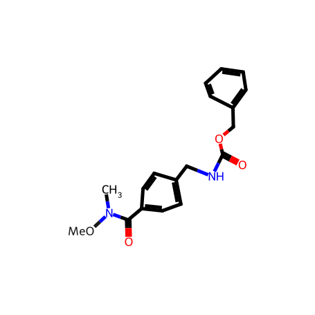 CON(C)C(=O)c1ccc(CNC(=O)OCc2ccccc2)cc1